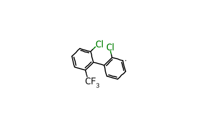 FC(F)(F)c1cccc(Cl)c1-c1ccc[c]c1Cl